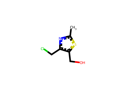 Cc1nc(CCl)c(CO)s1